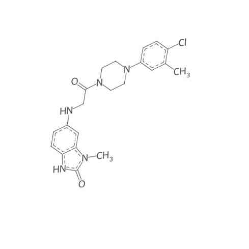 Cc1cc(N2CCN(C(=O)CNc3ccc4[nH]c(=O)n(C)c4c3)CC2)ccc1Cl